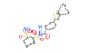 NS(=O)(=O)c1ccccc1S(=O)(=O)NC(=O)c1ccc(-c2cc3ccccc3s2)cc1